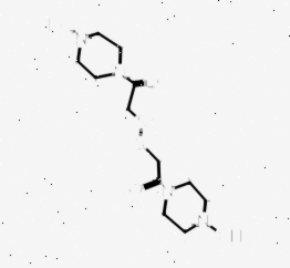 CN1CCN(C(=O)CSSCC(=O)N2CCN(C)CC2)CC1